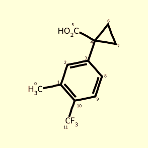 Cc1cc(C2(C(=O)O)CC2)ccc1C(F)(F)F